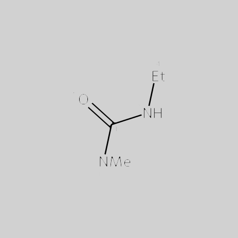 [CH2]NC(=O)NCC